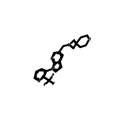 FC(F)(F)c1ncccc1-n1ccc2cc(CN3CC4(CCOCC4)C3)cnc21